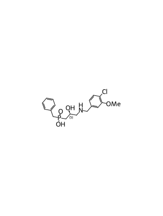 COc1cc(CNC[C@H](O)CP(=O)(O)Cc2ccccc2)ccc1Cl